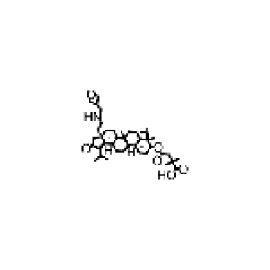 CC(C)C1=C2[C@H]3CC[C@@H]4[C@@]5(C)CC[C@H](OC(=O)CC(C)(C)C(=O)O)C(C)(C)[C@@H]5CC[C@@]4(C)[C@]3(C)CC[C@@]2(CCNCC2COC2)CC1=O